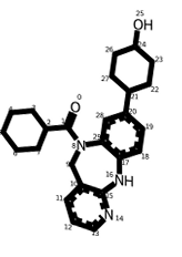 O=C(C1CCCCC1)N1Cc2cccnc2Nc2ccc(C3CCC(O)CC3)cc21